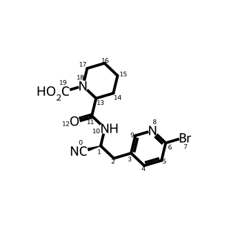 N#C[C@H](Cc1ccc(Br)nc1)NC(=O)C1CCCCN1C(=O)O